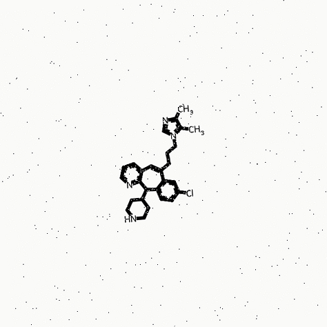 Cc1ncn(CCCC2=Cc3cccnc3C(C3CCNCC3)c3ccc(Cl)cc32)c1C